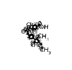 CCOCc1cc(OC)c(-c2ccc(CC(NC(=O)c3c(Cl)cc(C(=O)O)cc3Cl)C(=O)O)cc2)c(OC)c1